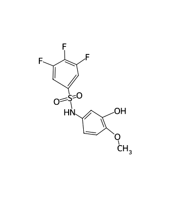 COc1ccc(NS(=O)(=O)c2cc(F)c(F)c(F)c2)cc1O